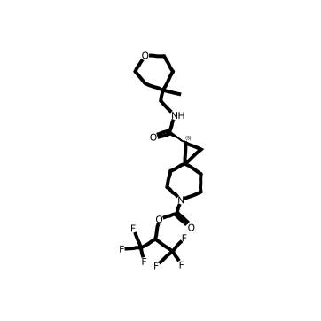 CC1(CNC(=O)[C@H]2CC23CCN(C(=O)OC(C(F)(F)F)C(F)(F)F)CC3)CCOCC1